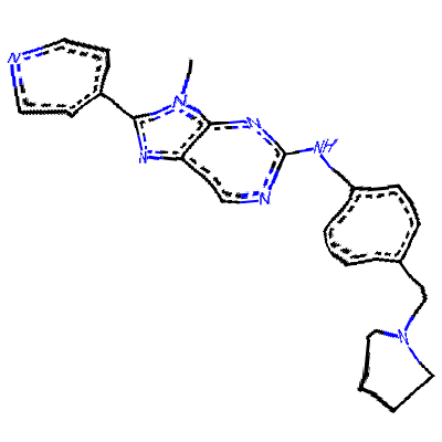 Cn1c(-c2ccncc2)nc2cnc(Nc3ccc(CN4CCCC4)cc3)nc21